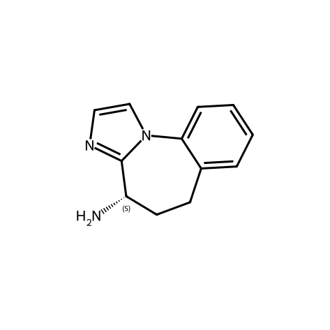 N[C@H]1CCc2ccccc2-n2ccnc21